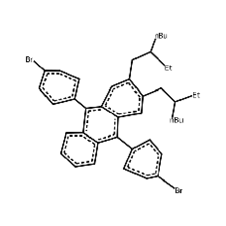 CCCCC(CC)Cc1cc2c(-c3ccc(Br)cc3)c3ccccc3c(-c3ccc(Br)cc3)c2cc1CC(CC)CCCC